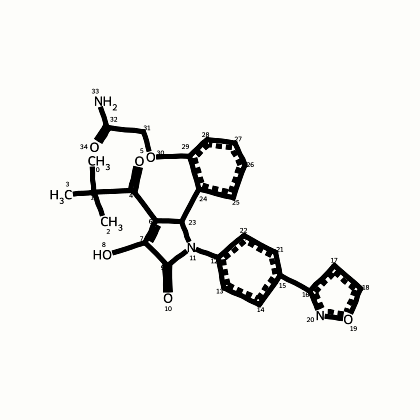 CC(C)(C)C(=O)C1=C(O)C(=O)N(c2ccc(-c3ccon3)cc2)C1c1ccccc1OCC(N)=O